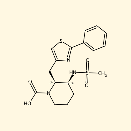 CS(=O)(=O)N[C@H]1CCCN(C(=O)O)[C@H]1Cc1csc(-c2ccccc2)n1